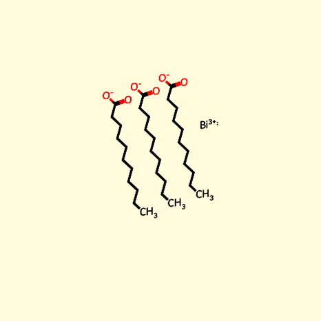 CCCCCCCCCCC(=O)[O-].CCCCCCCCCCC(=O)[O-].CCCCCCCCCCC(=O)[O-].[Bi+3]